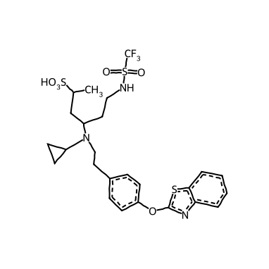 CC(CC(CCNS(=O)(=O)C(F)(F)F)N(CCc1ccc(Oc2nc3ccccc3s2)cc1)C1CC1)S(=O)(=O)O